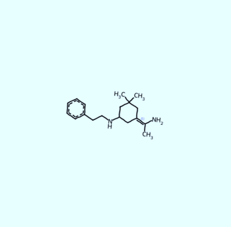 C/C(N)=C1\CC(NCCc2ccccc2)CC(C)(C)C1